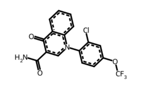 NC(=O)c1cn(-c2ccc(OC(F)(F)F)cc2Cl)c2ccccc2c1=O